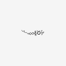 CCSCCCN1CC2(C1)CN(S(=O)(=O)c1ccc(C(F)(F)F)nc1C)C2